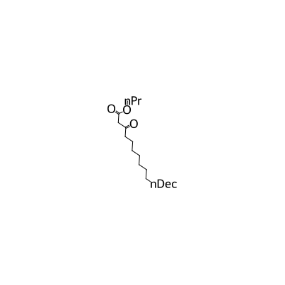 CCCCCCCCCCCCCCCCCC(=O)CC(=O)OCCC